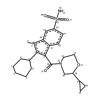 Cn1c(C2CCCCC2)c(C(=O)N2CCOC(C3CC3)C2)c2ccc(S(N)(=O)=O)cc21